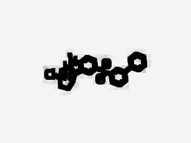 Cn1c2c(c3cc(S(=O)(=O)c4cccc(-c5ccccc5)c4)ccc31)C1CCC(Cl)(C2)N1